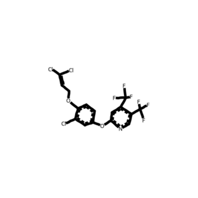 FC(F)(F)c1cnc(Oc2ccc(OCC=C(Cl)Cl)c(Cl)c2)cc1C(F)(F)F